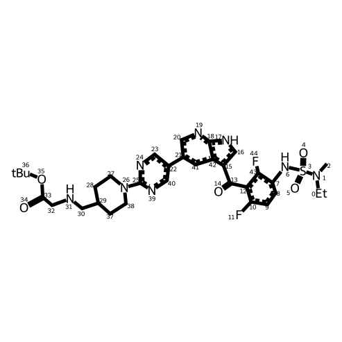 CCN(C)S(=O)(=O)Nc1ccc(F)c(C(=O)c2c[nH]c3ncc(-c4cnc(N5CCC(CNCC(=O)OC(C)(C)C)CC5)nc4)cc23)c1F